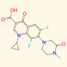 CN1CCN(c2c(F)cc3c(=O)c(C(=O)O)cn(C4CC4)c3c2F)CC1=O